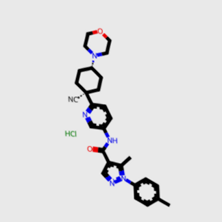 Cc1ccc(-n2ncc(C(=O)Nc3ccc([C@]4(C#N)CC[C@@H](N5CCOCC5)CC4)nc3)c2C)cc1.Cl